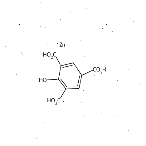 O=C(O)c1cc(C(=O)O)c(O)c(C(=O)O)c1.[Zn]